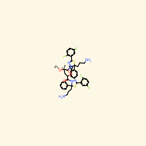 CC(C)O[C@@](C)(CC(OC1CC1)C(=O)N1N=C(c2cc(F)ccc2F)SC1(CCCN)c1ccccc1)C(=O)N1N=C(c2cc(F)ccc2F)SC1(CCCN)c1ccccc1